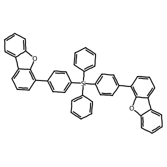 c1ccc([Si](c2ccccc2)(c2ccc(-c3cccc4c3oc3ccccc34)cc2)c2ccc(-c3cccc4c3oc3ccccc34)cc2)cc1